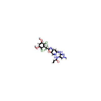 C=CC(=O)Nc1cn(C)nc1Nc1cc2nc(C(F)(F)c3c(Cl)c(OC)cc(OC)c3Cl)oc2cn1